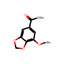 CCCCOc1cc(C(=O)OC)cc2c1OCO2